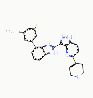 COc1cc(F)cc(-c2cccc3[nH]c(-c4n[nH]c5ccc(C6=CCNCC6)nc45)nc23)c1